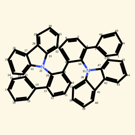 c1ccc(-c2cccc(-c3cccc(-c4ccccc4)c3-n3c4ccccc4c4ccccc43)c2-n2c3ccccc3c3ccccc32)cc1